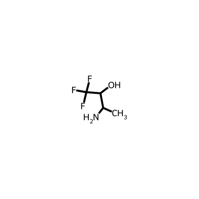 CC(N)C(O)C(F)(F)F